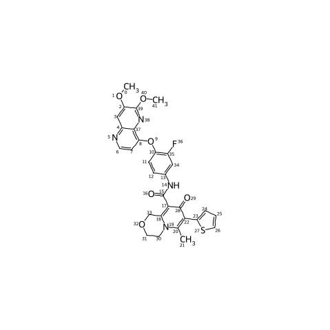 COc1cc2nccc(Oc3ccc(NC(=O)c4c5n(c(C)c(-c6cccs6)c4=O)CCOC5)cc3F)c2nc1OC